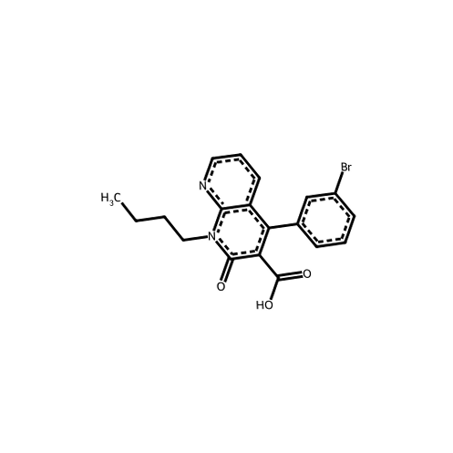 CCCCn1c(=O)c(C(=O)O)c(-c2cccc(Br)c2)c2cccnc21